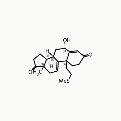 CSCC[C@]12CCC(=O)C=C1[C@@H](O)C[C@@H]1C2=CC[C@]2(C)C(=O)CC[C@@H]12